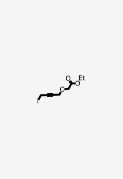 CCOC(=O)COCC#CCI